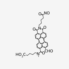 CN(CCCCC(=O)O)C(=O)c1ccc2c3ccc4c5c(ccc(c6ccc(C=O)c1c62)c53)C(=O)N(CCCCC(=O)N=O)C4=O